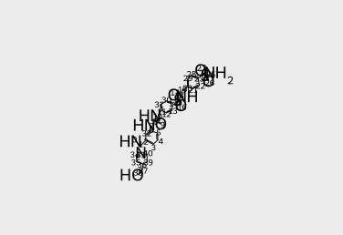 N=C(c1cccc(NC(=O)Nc2ccc(S(=O)(=O)NCc3ccc(S(N)(=O)=O)cc3)cc2)c1)N1CCC(CO)CC1